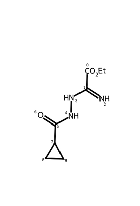 CCOC(=O)C(=N)NNC(=O)C1CC1